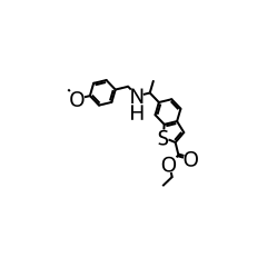 CCOC(=O)c1cc2ccc(C(C)NCc3ccc(OC)cc3)cc2s1